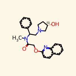 CN(C(=O)COc1ccc2ccccc2n1)C(CN1CC[C@H](O)C1)c1ccccc1